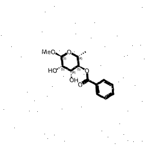 CO[C@H]1O[C@H](C)[C@@H](OC(=O)c2ccccc2)[C@H](O)[C@@H]1O